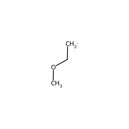 [CH2]COC